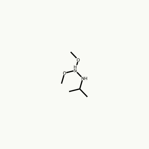 CO[SiH](NC(C)C)OC